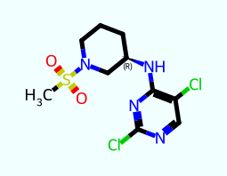 CS(=O)(=O)N1CCC[C@@H](Nc2nc(Cl)ncc2Cl)C1